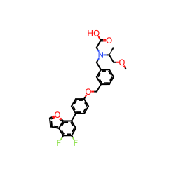 COC[C@H](C)N(CC(=O)O)Cc1cccc(COc2ccc(-c3cc(F)c(F)c4ccoc34)cc2)c1